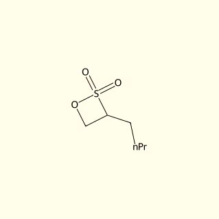 CCCCC1COS1(=O)=O